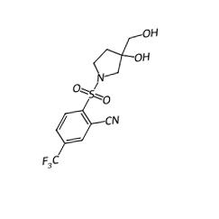 N#Cc1cc(C(F)(F)F)ccc1S(=O)(=O)N1CCC(O)(CO)C1